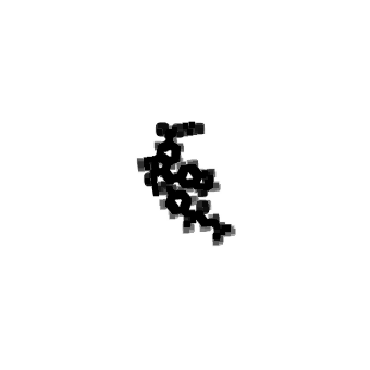 COC(=O)c1ccc2c(c1)NC(=O)/C2=C(\Nc1ccc(N(C)C(=O)CCN(C)C)cc1)c1ccc2ncsc2c1